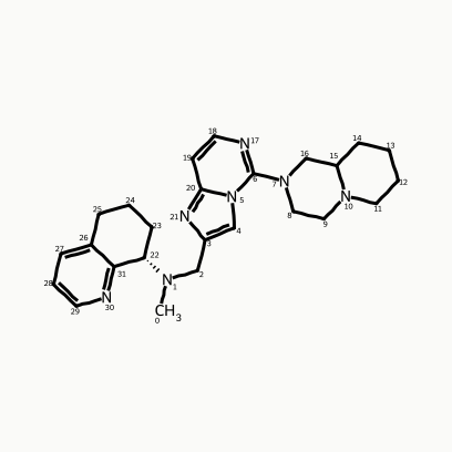 CN(Cc1cn2c(N3CCN4CCCCC4C3)nccc2n1)[C@H]1CCCc2cccnc21